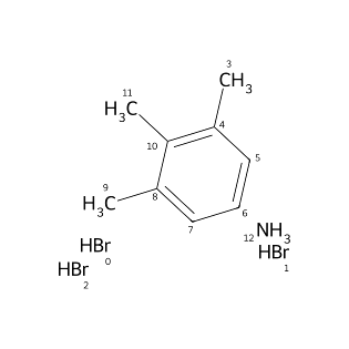 Br.Br.Br.Cc1cccc(C)c1C.N